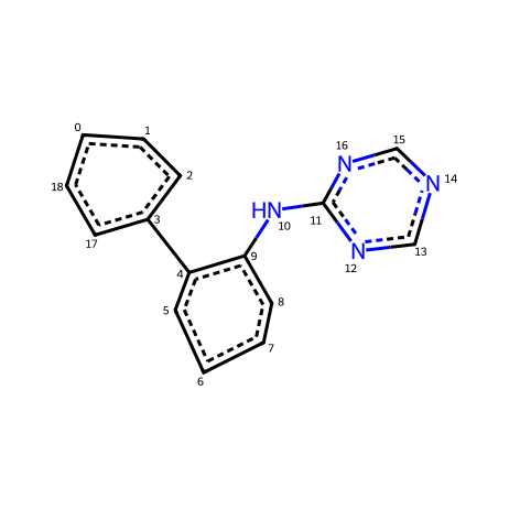 c1ccc(-c2ccccc2Nc2ncncn2)cc1